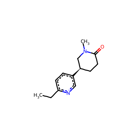 CCc1ccc([C@@H]2CCC(=O)N(C)C2)cn1